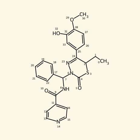 CCC1SC(=O)N(C(NC(=O)c2ccncc2)c2ccccc2)N=C1c1ccc(OC)c(O)c1